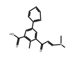 Cc1c(C(=O)O)cc(-c2ccccc2)cc1C(=O)C=CN(C)C